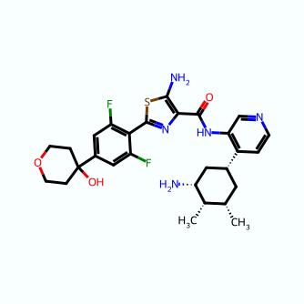 C[C@@H]1[C@H](N)C[C@H](c2ccncc2NC(=O)c2nc(-c3c(F)cc(C4(O)CCOCC4)cc3F)sc2N)C[C@@H]1C